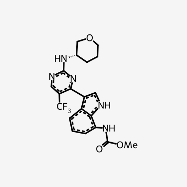 COC(=O)Nc1cccc2c(-c3nc(N[C@H]4CCCOC4)ncc3C(F)(F)F)c[nH]c12